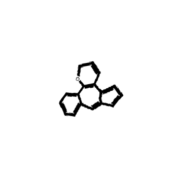 C1=Cc2c3cccc-3cc3ccccc3c2OC1